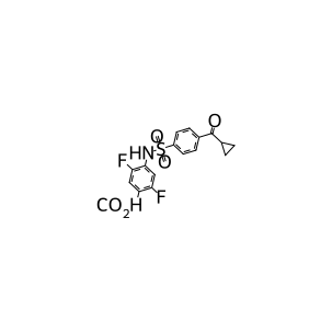 O=C(O)c1cc(F)c(NS(=O)(=O)c2ccc(C(=O)C3CC3)cc2)cc1F